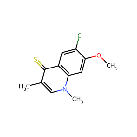 COc1cc2c(cc1Cl)c(=S)c(C)cn2C